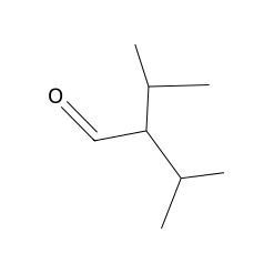 CC(C)C(C=O)C(C)C